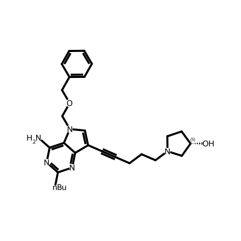 CCCCc1nc(N)c2c(n1)c(C#CCCCN1CC[C@H](O)C1)cn2COCc1ccccc1